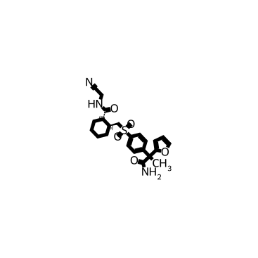 CC(C(N)=O)(c1ccc(S(=O)(=O)C[C@H]2CCCC[C@@H]2C(=O)NCC#N)cc1)c1ccco1